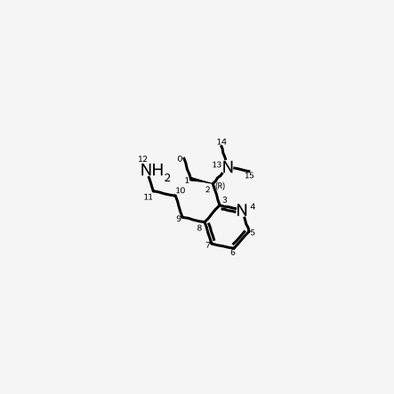 CC[C@H](c1ncccc1CCCN)N(C)C